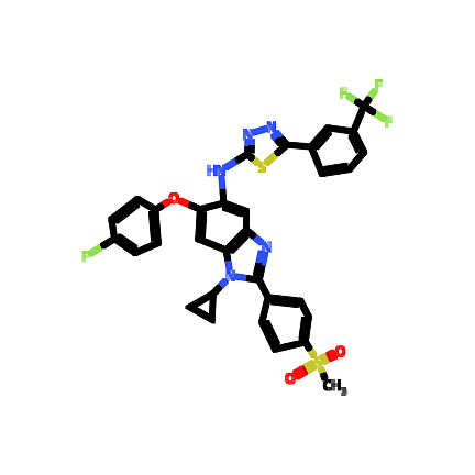 CS(=O)(=O)c1ccc(-c2nc3cc(Nc4nnc(-c5cccc(C(F)(F)F)c5)s4)c(Oc4ccc(F)cc4)cc3n2C2CC2)cc1